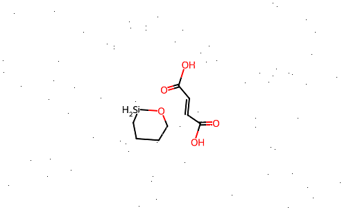 C1CC[SiH2]OC1.O=C(O)/C=C/C(=O)O